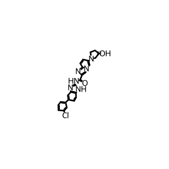 O=C(Nc1nc2cc(-c3cccc(Cl)c3)ccc2[nH]1)c1cn2cc(N3CC[C@H](O)C3)ccc2n1